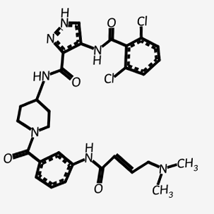 CN(C)CC=CC(=O)Nc1cccc(C(=O)N2CCC(NC(=O)c3n[nH]cc3NC(=O)c3c(Cl)cccc3Cl)CC2)c1